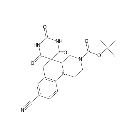 CC(C)(C)OC(=O)N1CCN2c3ccc(C#N)cc3CC3(C(=O)NC(=O)NC3=O)C2C1